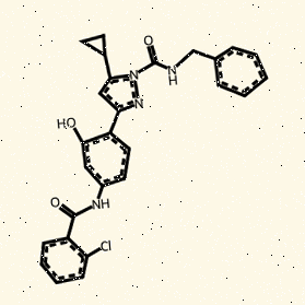 O=C(Nc1ccc(-c2cc(C3CC3)n(C(=O)NCc3ccccc3)n2)c(O)c1)c1ccccc1Cl